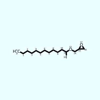 CCCCCCCCCCCC(I)OCC1CO1